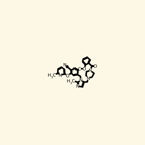 COc1ccccc1C(=O)N1CCN(Cc2cnc(C)n2Cc2ccc(C#N)c(Oc3cccc(C)n3)c2)CC1